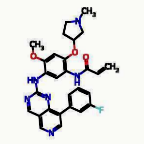 C=CC(=O)Nc1cc(Nc2ncc3cncc(-c4cccc(F)c4)c3n2)c(OC)cc1OC1CCN(C)C1